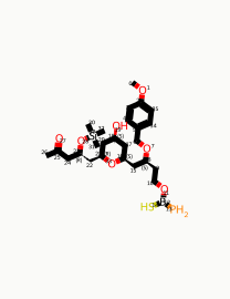 COc1ccc(CO[C@@H](CCOB(P)S)C[C@@H]2C[C@H](O)C[C@H](C[C@H](CC(C)=O)O[Si](C)(C)C)O2)cc1